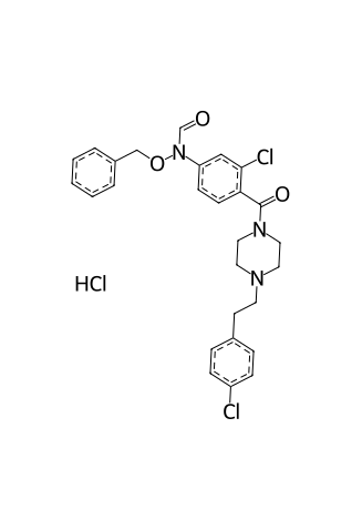 Cl.O=CN(OCc1ccccc1)c1ccc(C(=O)N2CCN(CCc3ccc(Cl)cc3)CC2)c(Cl)c1